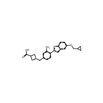 O=C(O)C1CN(Cc2ccc(-c3cc4cc(OCC5CC5)ccc4o3)c(P)c2)C1